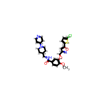 COc1ccc(C(=O)NCC2CCN(c3ccncc3)CC2)cc1OCc1cc(-c2ccc(Cl)s2)on1